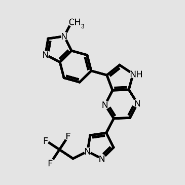 Cn1cnc2ccc(-c3c[nH]c4ncc(-c5cnn(CC(F)(F)F)c5)nc34)cc21